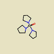 O=[As](N1CCCC1)(N1CCCC1)N1CCCC1